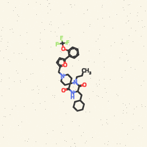 CCCN1C(=O)C(CC2CCCCC2)NC(=O)C12CCN(Cc1ccc(-c3ccccc3OC(F)(F)F)o1)CC2